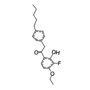 CCCCCc1ccc(CC(=O)c2ccc(OCC)c(F)c2O)cc1